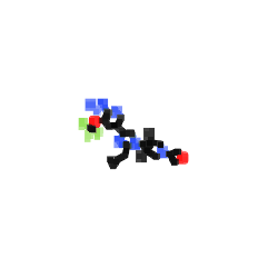 Nc1ncc(-c2cn([C@H]3[C@@H]4CN(C5COC5)C[C@@H]43)c(CC3CC3)n2)cc1OC(F)(F)F